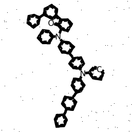 c1ccc(-c2ccc(-c3ccc(N(c4ccccc4)c4ccc(-c5ccc(N(c6ccccc6)c6cccc7c6oc6c(-c8ccccc8)cccc67)cc5)cc4)cc3)cc2)cc1